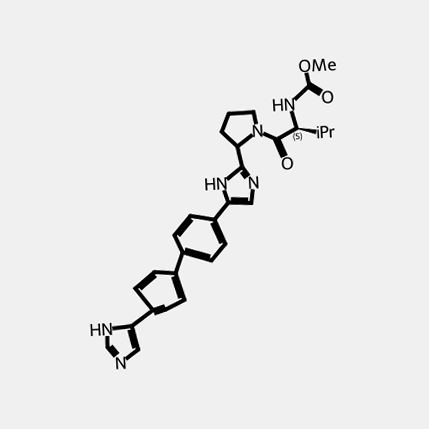 COC(=O)N[C@H](C(=O)N1CCCC1c1ncc(-c2ccc(-c3ccc(-c4cnc[nH]4)cc3)cc2)[nH]1)C(C)C